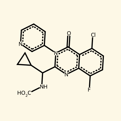 O=C(O)NC(c1nc2c(F)ccc(Cl)c2c(=O)n1-c1cccnc1)C1CC1